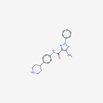 Cc1nn(-c2ccccc2)nc1C(=O)Nc1ccc(C2CCNCC2)cc1